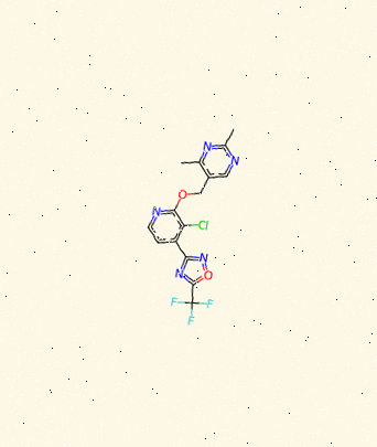 Cc1ncc(COc2nccc(-c3noc(C(F)(F)F)n3)c2Cl)c(C)n1